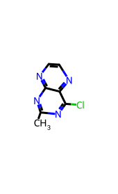 Cc1nc(Cl)c2nccnc2n1